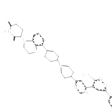 Nc1nnc(-c2ccccc2O)cc1-c1cc(C2CCN(C3CCC(c4cccc5c4OCCN5[C@H]4CCC(=O)NC4=O)CC3)CC2)ncn1